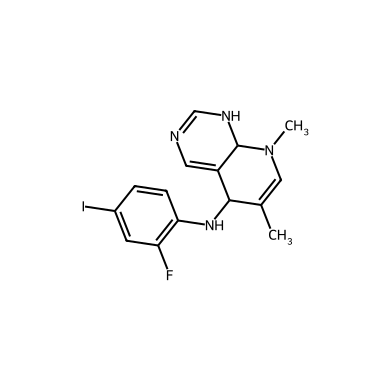 CC1=CN(C)C2NC=NC=C2C1Nc1ccc(I)cc1F